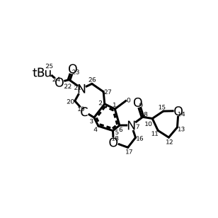 Cc1c2c(cc3c1N(C(=O)C1CCCOC1)CCO3)CCN(C(=O)OC(C)(C)C)CC2